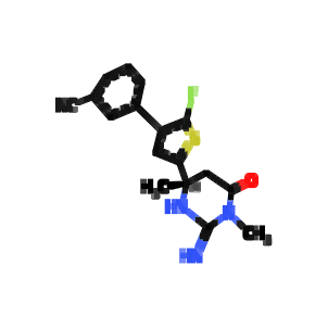 CN1C(=N)N[C@](C)(c2cc(-c3cccc(C#N)c3)c(F)s2)CC1=O